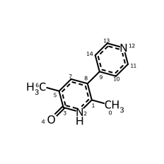 Cc1[nH]c(=O)c(C)cc1-c1ccncc1